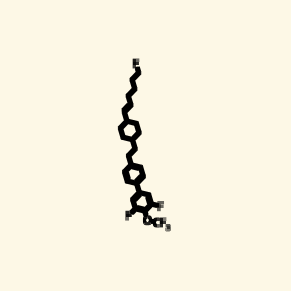 FCCCCC=CC1CCC(CCc2ccc(-c3cc(F)c(OC(F)(F)F)c(F)c3)cc2)CC1